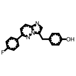 Oc1ccc(Cc2cnc3ccc(-c4ccc(F)cc4)nn23)cc1